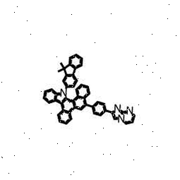 CC1(C)c2ccccc2-c2ccc(-n3c4ccccc4c4c5ccccc5c5cc(-c6ccc(-c7cn8cccnc8n7)cc6)c6ccccc6c5c43)cc21